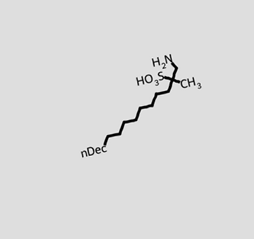 CCCCCCCCCCCCCCCCCCC(C)(CN)S(=O)(=O)O